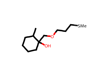 CSCCCOCC1(O)CCCCC1C